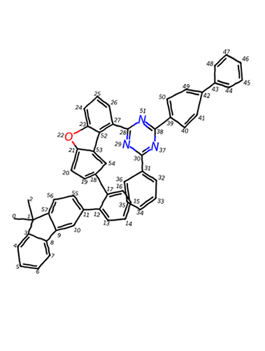 CC1(C)c2ccccc2-c2cc(-c3ccccc3-c3ccc4oc5cccc(-c6nc(-c7ccccc7)nc(-c7ccc(-c8ccccc8)cc7)n6)c5c4c3)ccc21